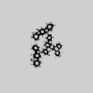 c1ccc(-c2nc3c(-c4cccc(-n5c6ccccc6c6cc7oc8ccccc8c7cc65)c4)cnc(-c4cccc(-n5c6ccccc6c6cc7oc8ccccc8c7cc65)c4)c3nc2-c2ccccc2)cc1